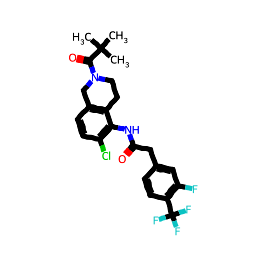 CC(C)(C)C(=O)N1CCc2c(ccc(Cl)c2NC(=O)Cc2ccc(C(F)(F)F)c(F)c2)C1